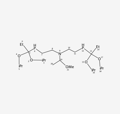 CCC(OC(C)C)(OC(C)C)PCCN(CCPC(CC)(OC(C)C)OC(C)C)C(C)OC